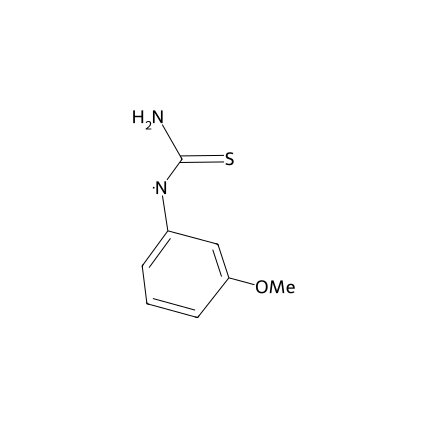 COc1cccc([N]C(N)=S)c1